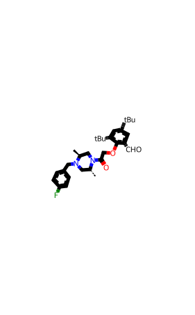 C[C@@H]1CN(Cc2ccc(F)cc2)[C@@H](C)CN1C(=O)COc1c(C=O)cc(C(C)(C)C)cc1C(C)(C)C